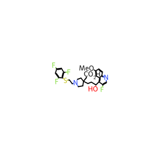 COc1ccc2ncc(F)c([C@H](O)CCC3(CC(=O)O)CCN(CCSc4c(F)cc(F)cc4F)CC3)c2c1